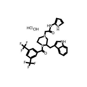 Cl.Cl.O=C(CN1CCN(C(=O)c2cc(C(F)(F)F)cc(C(F)(F)F)c2)C(Cc2c[nH]c3ccccc23)C1)Nc1ccc[nH]1